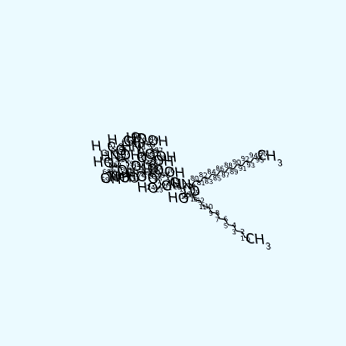 CCCCCCCCCCCCCC=CC(O)C(COC1OC(CO)C(OC2OC(CO)C(OC3OC(CO)C(O)C(O)C3NC(C)=O)C(OCC3(C(=O)O)CC(O)C(NC(C)=O)C(C(O)C(O)CO)O3)C2O)C(O)C1O)NC(=O)CCCCCCCCCCCCCCCCC